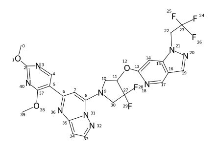 COc1ncc(-c2cc(N3CC(Oc4cc5c(cn4)cnn5CC(F)(F)F)C(F)(F)C3)n3nccc3n2)c(OC)n1